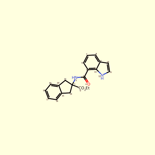 CCOC(=O)C1(NC(=O)c2cccc3cc[nH]c23)Cc2ccccc2C1